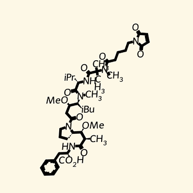 CC[C@H](C)[C@@H]([C@@H](CC(=O)N1CCC[C@H]1[C@H](OC)[C@@H](C)C(=O)N[C@@H](Cc1ccccc1)C(=O)O)OC)N(C)C(=O)[C@@H](NC(=O)C(C)(C)N(C)C(=O)CCCCN1C(=O)C=CC1=O)C(C)C